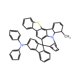 CC1C=CC=C2c3c4c(cc5c3sc3ccccc35)C3(c5ccccc5-c5cc(N(c6ccccc6)c6ccccc6)ccc53)c3ccccc3N4C21